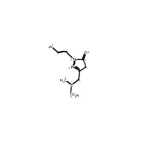 CC(C)CCN1N=C(CN(C)C(=O)O)CC1=O